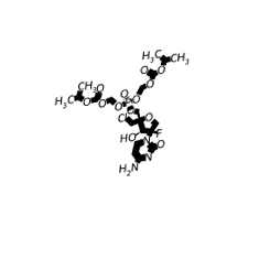 CC(C)OC(=O)OCOP(=O)(OCOC(=O)OC(C)C)OC[C@@]1(CCl)OC[C@](F)(n2ccc(N)nc2=O)[C@@H]1O